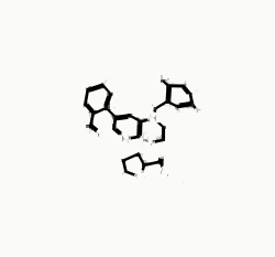 NC(=O)C1CCCO1.O=C(O)c1ccccc1-c1cnc2c(c1)N(Cc1cc(Cl)ccc1Cl)CCN2